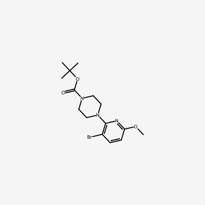 COc1ccc(Br)c(N2CCN(C(=O)OC(C)(C)C)CC2)n1